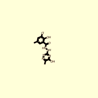 Cc1cc(Cl)c(O)c(C(=O)NNc2nnc(C)c(O)n2)c1